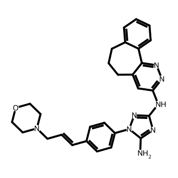 Nc1nc(Nc2cc3c(nn2)-c2ccccc2CCC3)nn1-c1ccc(C=CCN2CCOCC2)cc1